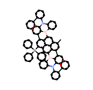 Cc1cc2c3c(cc4c([Si](c5ccccc5)(c5ccccc5)c5ccccc5)cc5c6c(cc1c3c46)B1c3ccccc3N(c3ccccc3-c3ccccc3)c3cccc-5c31)B1c3ccccc3N(c3ccccc3-c3ccccc3)c3cccc-2c31